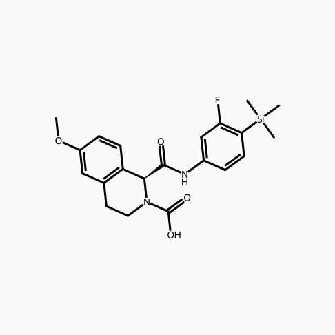 COc1ccc2c(c1)CCN(C(=O)O)[C@@H]2C(=O)Nc1ccc([Si](C)(C)C)c(F)c1